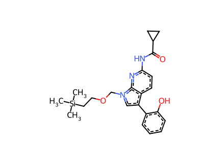 C[Si](C)(C)CCOCn1cc(-c2ccccc2O)c2ccc(NC(=O)C3CC3)nc21